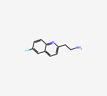 NCCc1ccc2cc(F)ccc2n1